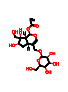 CCC(C)C(=O)O[C@@H]1OC=C(CO[C@@H]2O[C@H](CO)[C@@H](O)[C@H](O)[C@H]2O)[C@H]2C[C@H](O)[C@](O)(CO)[C@@H]12